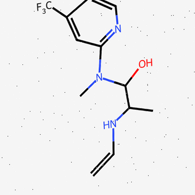 C=CNC(C)C(O)N(C)c1cc(C(F)(F)F)ccn1